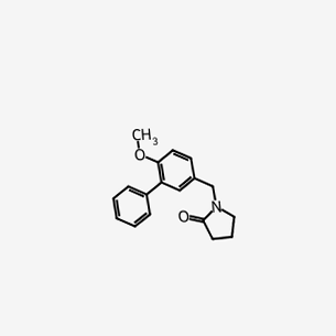 COc1ccc(CN2CCCC2=O)cc1-c1ccccc1